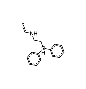 S=CNCC[SiH](c1ccccc1)c1ccccc1